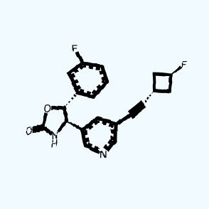 O=C1N[C@H](c2cncc(C#C[C@H]3C[C@H](F)C3)c2)[C@@H](c2cccc(F)c2)O1